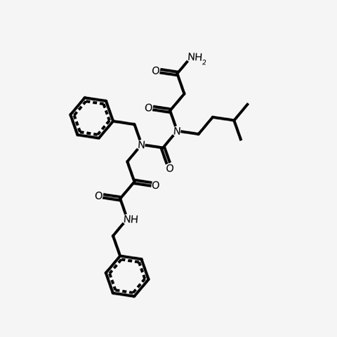 CC(C)CCN(C(=O)CC(N)=O)C(=O)N(CC(=O)C(=O)NCc1ccccc1)Cc1ccccc1